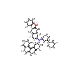 c1ccc(-c2cccc(N(c3ccc4cc5c(cc4c3)oc3ccccc35)c3ccc4ccc5ccc6ccccc6c5c4c3)c2)cc1